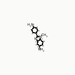 Cn1c(-c2ccc(N)cc2)nc2cc(N)ccc21